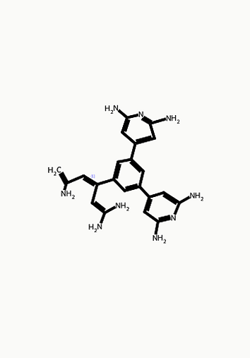 C=C(N)/C=C(\C=C(N)N)c1cc(-c2cc(N)nc(N)c2)cc(-c2cc(N)nc(N)c2)c1